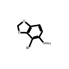 CCCCCCc1ccc2c(c1Br)OCO2